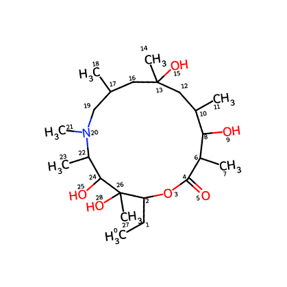 CCC1OC(=O)C(C)C(O)C(C)CC(C)(O)CC(C)CN(C)C(C)C(O)C1(C)O